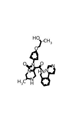 CC1Cn2c(c(C(=O)NCc3ccccc3-c3ccncn3)n(-c3ccc(OC[C@@H](C)O)cc3)c2=O)CN1